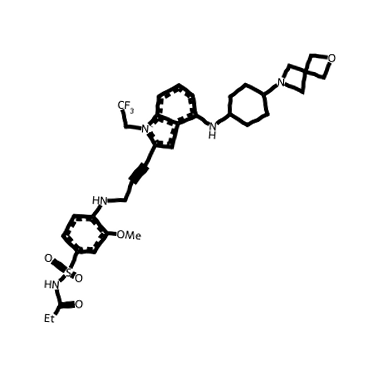 CCC(=O)NS(=O)(=O)c1ccc(NCC#Cc2cc3c(NC4CCC(N5CC6(COC6)C5)CC4)cccc3n2CC(F)(F)F)c(OC)c1